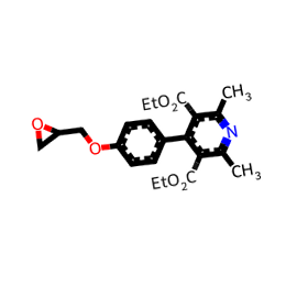 CCOC(=O)c1c(C)nc(C)c(C(=O)OCC)c1-c1ccc(OCC2CO2)cc1